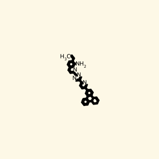 C/C=C\c1ccc2ccc(-c3ncc(-c4ccc(-c5ccc6c(c5)-c5ccccc5C5CCC=CC65)cn4)cn3)nc2c1N